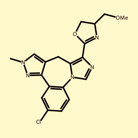 COCC1COC(c2ncn3c2Cc2cn(C)nc2-c2cc(Cl)ccc2-3)=N1